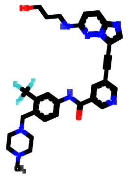 CN1CCN(Cc2ccc(NC(=O)c3cncc(C#Cc4cnc5ccc(NCCCO)nn45)c3)cc2C(F)(F)F)CC1